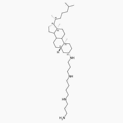 CC(C)CCC[C@@H](C)[C@H]1CCC2C3CC[C@H]4C[C@@H](NCCCNCCCCNCCCN)CC[C@]4(C)C3CC[C@@]21C